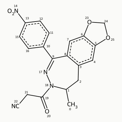 CC1Cc2cc3c(cc2C(c2ccc([N+](=O)[O-])cc2)=NN1C(=O)CC#N)OCO3